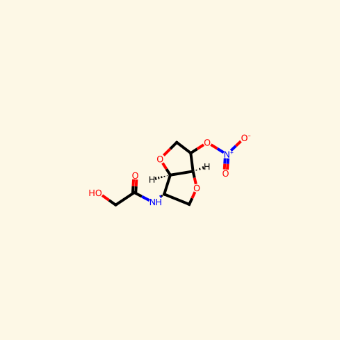 O=C(CO)N[C@H]1CO[C@@H]2C(O[N+](=O)[O-])CO[C@H]12